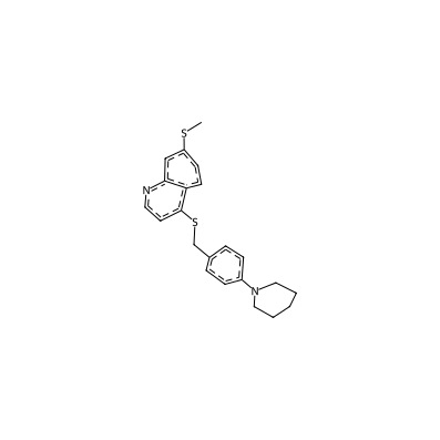 CSc1ccc2c(SCc3ccc(N4CCCCC4)cc3)ccnc2c1